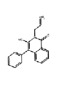 C=CCn1c(C#N)c(-c2ccccc2)c2ccccc2c1=O